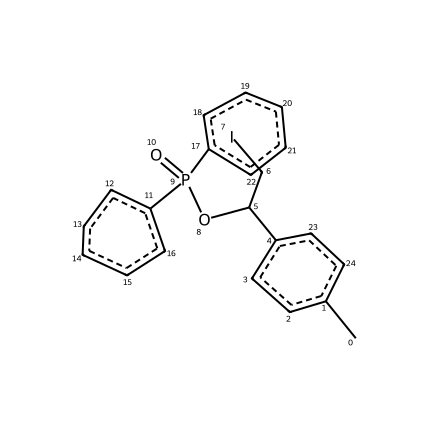 Cc1ccc(C(CI)OP(=O)(c2ccccc2)c2ccccc2)cc1